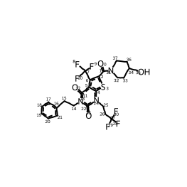 O=C(c1sc2c(c1C(F)(F)F)c(=O)n(CCc1ccccc1)c(=O)n2CCC(F)(F)F)N1CCC(O)CC1